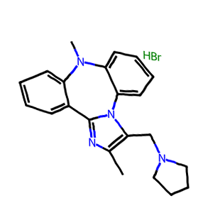 Br.Cc1nc2n(c1CN1CCCC1)-c1ccccc1N(C)c1ccccc1-2